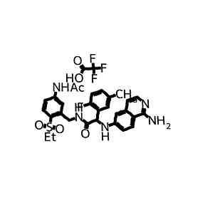 CCS(=O)(=O)c1ccc(NC(C)=O)cc1CNC(=O)C(Nc1ccc2c(N)nccc2c1)c1cc(C)ccc1F.O=C(O)C(F)(F)F